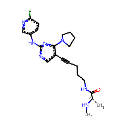 CN[C@@H](C)C(=O)NCCCC#Cc1cnc(Nc2ccc(F)nc2)nc1N1CCCC1